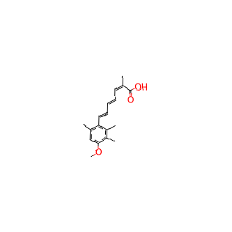 COc1cc(C)c(C=CC=CC=C(C)C(=O)O)c(C)c1C